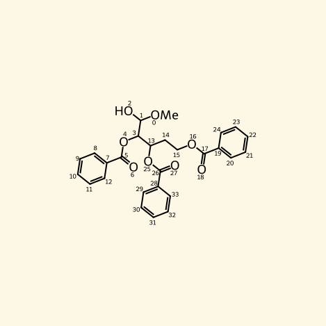 COC(O)C(OC(=O)c1ccccc1)C(CCOC(=O)c1ccccc1)OC(=O)c1ccccc1